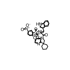 C[C@@](Cc1c[nH]c2ccccc12)(NS(=O)(=O)c1cc([N+](=O)[O-])ccc1Cl)C(=O)NCC1(c2ccccn2)CCCCC1